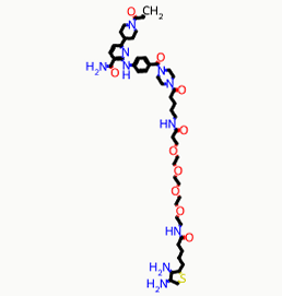 C=CC(=O)N1CCC(c2ccc(C(N)=O)c(Nc3ccc(C(=O)N4CCN(C(=O)CCCCNC(=O)CCOCCOCCOCCOCCNC(=O)CCCCC5SCC(N)C5N)CC4)cc3)n2)CC1